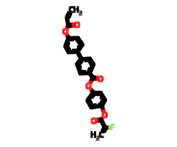 C=CC(=O)Oc1ccc(-c2ccc(C(=O)Oc3ccc(OC(=O)C(=C)F)cc3)cc2)cc1